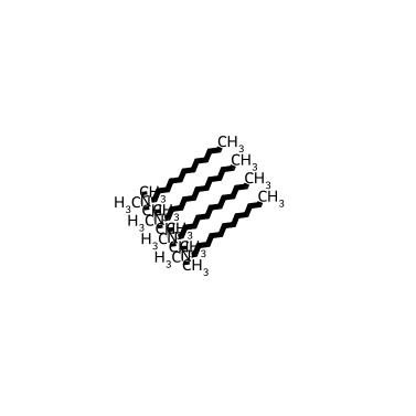 CCCCCCCCCCCC[N+](C)(C)C.CCCCCCCCCCCC[N+](C)(C)C.CCCCCCCCCCCC[N+](C)(C)C.CCCCCCCCCCCC[N+](C)(C)C